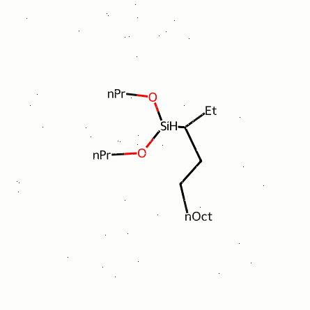 CCCCCCCCCCC(CC)[SiH](OCCC)OCCC